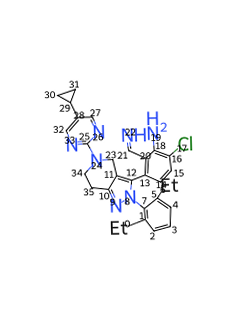 CCc1cccc(CC)c1-n1nc2c(c1-c1ccc(Cl)c(N)c1C=N)CN(c1ncc(C3CC3)cn1)CC2